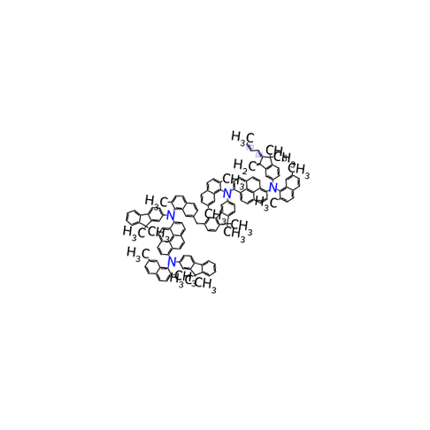 C=C1/C(=C\C=C/C)C(C)(C)c2ccc(N(c3c(C)ccc4ccc(C)cc34)c3ccc4ccc5c(N(c6ccc7c(c6)-c6cc(Cc8ccc9ccc(C)c(N(c%10ccc%11c(c%10)C(C)(C)c%10ccccc%10-%11)c%10ccc%11ccc%12c(N(c%13ccc%14c(c%13)C(C)(C)c%13ccccc%13-%14)c%13c(C)ccc%14ccc(C)cc%13%14)ccc%13ccc%10c%11c%13%12)c9c8)ccc6C7(C)C)c6c(C)ccc7ccc(C)cc67)ccc6ccc3c4c65)cc21